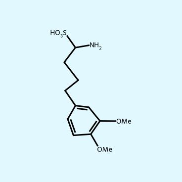 COc1ccc(CCCC(N)S(=O)(=O)O)cc1OC